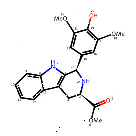 COC(=O)[C@H]1Cc2c([nH]c3ccccc23)[C@@H](c2cc(OC)c(O)c(OC)c2)N1